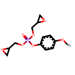 CC(C)Oc1ccc(OP(=O)(OCC2CO2)OCC2CO2)cc1